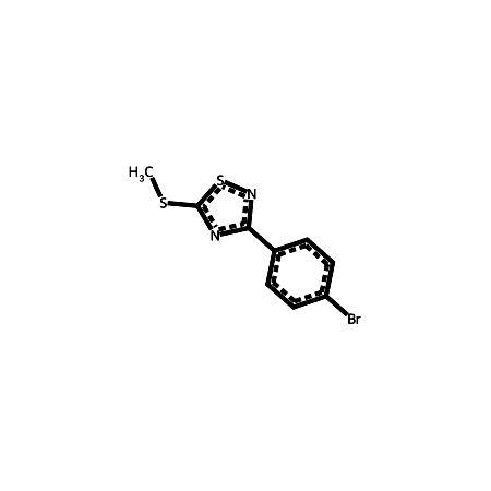 CSc1nc(-c2ccc(Br)cc2)ns1